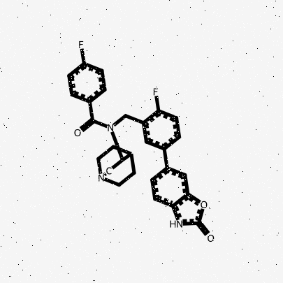 O=C(c1ccc(F)cc1)N(Cc1cc(-c2ccc3[nH]c(=O)oc3c2)ccc1F)C1CN2CCC1CC2